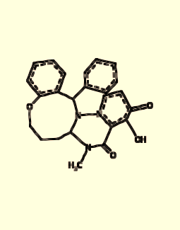 CN1C(=O)c2c(O)c(=O)ccn2N2C(c3ccccc3)c3ccccc3OCCCC12